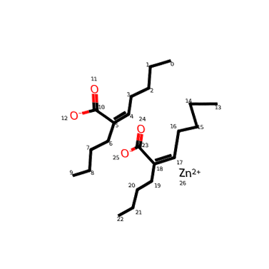 CCCC/C=C(/CCCC)C(=O)[O-].CCCC/C=C(/CCCC)C(=O)[O-].[Zn+2]